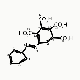 O=C(O)c1cc(N=Nc2ccccc2)c(C(=O)O)c(C(=O)O)c1C(=O)O